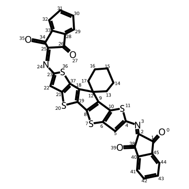 O=c1c(=Nc2cc3sc4c(c3s2)C2(CCCCC2)c2c-4sc3cc(N=c4c(=O)c5ccccc5c4=O)sc23)c(=O)c2ccccc12